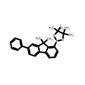 CC1(C)c2cc(-c3ccccc3)ccc2-c2cccc(B3OC(C)(C)C(C)(C)O3)c21